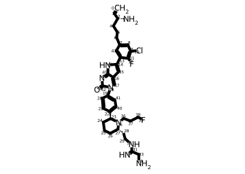 C=C[C@H](N)CCCc1cc(Cl)c(F)c(-c2cc3cn(-c4ccc([C@@H]5CCC[C@@H](CCNC(=N)CN)N5CCCF)cc4)c(=O)nc3[nH]2)c1